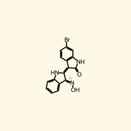 O=C1Nc2cc(Br)ccc2C1=C1Nc2ccccc2/C1=N\O